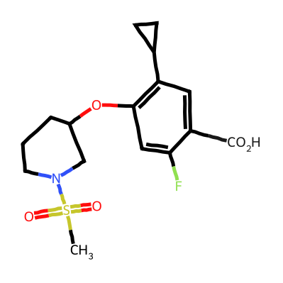 CS(=O)(=O)N1CCCC(Oc2cc(F)c(C(=O)O)cc2C2CC2)C1